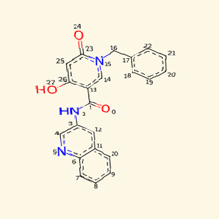 O=C(Nc1cnc2ccccc2c1)c1cn(Cc2ccccc2)c(=O)cc1O